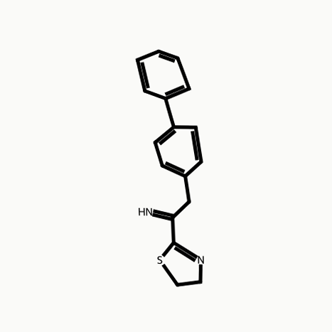 N=C(Cc1ccc(-c2ccccc2)cc1)C1=NCCS1